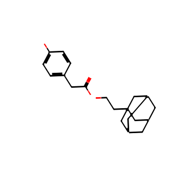 O=C(Cc1ccc(O)cc1)OCCC12CC3CC(CC(C3)C1)C2